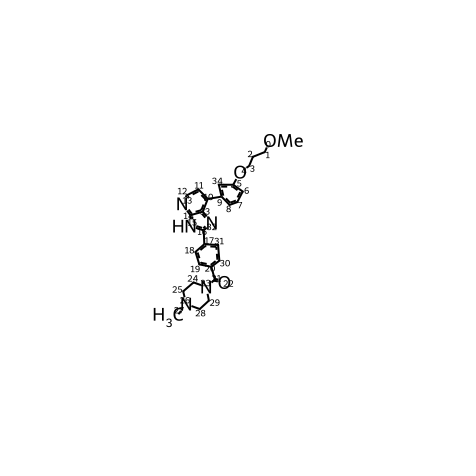 COCCCOc1cccc(-c2ccnc3[nH]c(-c4ccc(C(=O)N5CCN(C)CC5)cc4)nc23)c1